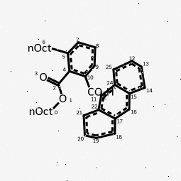 CCCCCCCCOC(=O)c1c(CCCCCCCC)cccc1C(=O)O.c1ccc2cc3ccccc3cc2c1